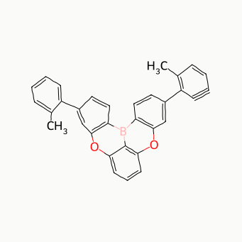 Cc1ccc#cc1-c1ccc2c(c1)Oc1cccc3c1B2c1ccc(-c2ccccc2C)cc1O3